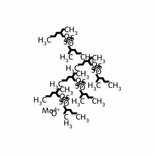 CCCCC(CC)COP(=S)([S-])OCC(CC)CCCC.CCCCC(CC)COP(=S)([S-])OCC(CC)CCCC.CCCCC(CC)COP(=S)([S-])OCC(CC)CCCC.CCCCC(CC)COP(=S)([S-])OCC(CC)CCCC.[O]=[Mo+4]